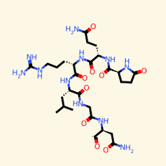 CC(C)C[C@H](NC(=O)[C@H](CCCNC(=N)N)NC(=O)[C@H](CCC(N)=O)NC(=O)[C@@H]1CCC(=O)N1)C(=O)NCC(=O)N[C@H]([C]=O)CC(N)=O